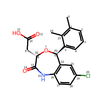 Cc1cccc([C@@H]2O[C@@H](CC(=O)O)C(=O)Nc3ccc(Cl)cc32)c1C